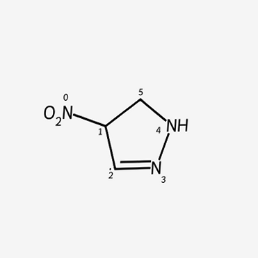 O=[N+]([O-])C1[C]=NNC1